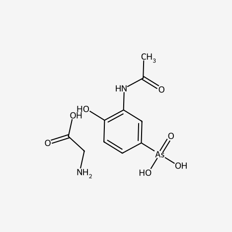 CC(=O)Nc1cc([As](=O)(O)O)ccc1O.NCC(=O)O